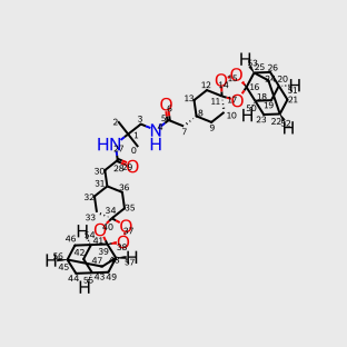 CC(C)(CNC(=O)C[C@H]1CC[C@]2(CC1)OO[C@]1(O2)[C@H]2C[C@@H]3C[C@H](C2)C[C@H]1C3)NC(=O)CC1CC[C@]2(CC1)OO[C@]1(O2)[C@H]2C[C@@H]3C[C@H](C2)C[C@H]1C3